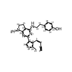 C#C/C=C\c1c(-c2nc(NCCc3ccc(O)cc3)c3c(n2)N(C(C)C)CC3)csc1C